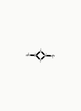 CC[CH2][Bi]1[S][Bi]([CH2]CC)[S]1